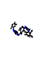 Cc1ccccc1N=C=Nc1ccc(N=C=Nc2ccccc2C)cc1